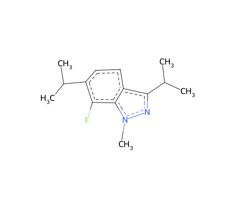 CC(C)c1ccc2c(C(C)C)nn(C)c2c1F